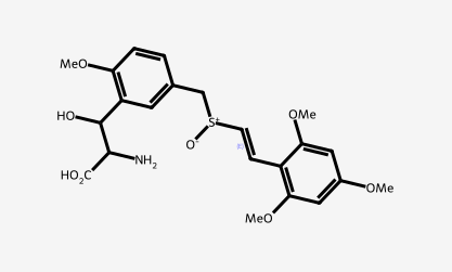 COc1cc(OC)c(/C=C/[S+]([O-])Cc2ccc(OC)c(C(O)C(N)C(=O)O)c2)c(OC)c1